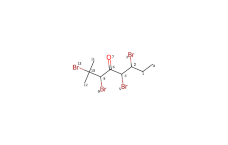 CCC(Br)C(Br)C(=O)C(Br)C(C)(C)Br